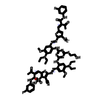 [C-]#[N+]c1cc(/C=C(\C(C)=O)C(=O)Nc2cccc(F)c2)sc1/N=N/c1cc(OC)c(N(CC)CC)cc1Nc1nc(Nc2cc(N(CC)CC)c(OC)cc2/N=N/c2sc(/C=C(/C(C)=O)C(=O)Nc3cccc(F)c3)c(S(=O)(=O)O)c2C#N)nc(SCCO)n1